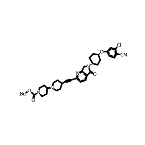 CC(C)(C)OC(=O)N1CCC(N2CCC(C#Cc3ccc4c(n3)CN([C@H]3CC[C@H](Oc5ccc(C#N)c(Cl)c5)CC3)C4=O)CC2)CC1